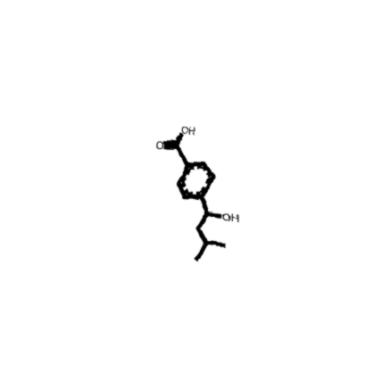 CC(C)CC(O)c1ccc(C(=O)O)cc1